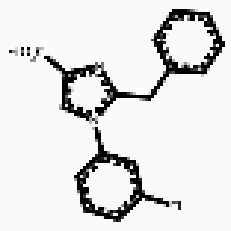 CCOC(=O)c1cn(-c2cccc(Cl)c2)c(Cc2ccccc2)n1